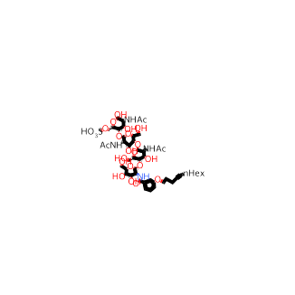 CCCCCCC#CCCCOc1cccc(C(=O)NC2[C@H](O[C@H]3C(O)C(NC(C)=O)[C@H](OC4C(CO)O[C@@H](O[C@H]5C(O)C(NC(C)=O)[C@H](O)O[C@H]5COS(=O)(=O)O)[C@@H](NC(C)=O)[C@H]4O)O[C@H]3CO)OC(CO)[C@@H](O)[C@@H]2O)c1